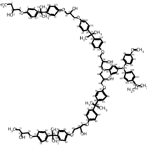 CCC(O)COc1ccc(C(C)(C)c2ccc(OCC(O)COc3ccc(C(C)(C)c4ccc(OCC(O)CN(CC(O)COc5ccc(C(C)(C)c6ccc(OCC(O)COc7ccc(C(C)(C)c8ccc(OCC(O)CC)cc8)cc7)cc6)cc5)c5ccc(N(c6ccc(OC)cc6)c6ccc(N(C)C)cc6)cc5)cc4)cc3)cc2)cc1